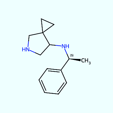 C[C@H](NC1CNCC12CC2)c1ccccc1